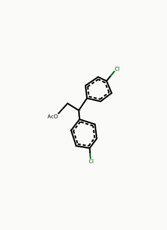 CC(=O)OC[C](c1ccc(Cl)cc1)c1ccc(Cl)cc1